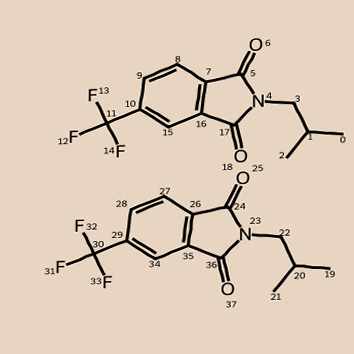 CC(C)CN1C(=O)c2ccc(C(F)(F)F)cc2C1=O.CC(C)CN1C(=O)c2ccc(C(F)(F)F)cc2C1=O